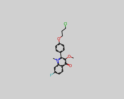 COc1c(-c2ccc(OCCCCl)cc2)n(C)c2cc(F)ccc2c1=O